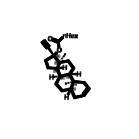 C#C[C@]1(OC(=O)CCCCCC)CC[C@H]2[C@@H]3CC[C@H]4CC=CC[C@]4(C)[C@H]3CC[C@@]21C